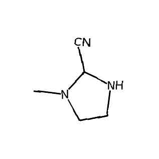 CN1CCNC1C#N